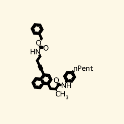 CCCCCc1ccc(NC(=O)[C@@H](C)Cc2ccc(C#CCCNC(=O)OCc3ccccc3)c3ccccc23)cc1